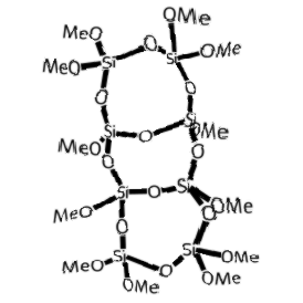 CO[Si]1(OC)O[Si](OC)(OC)O[Si]2(OC)O[Si](OC)(O1)O[Si]1(OC)O[Si](OC)(OC)O[Si](OC)(OC)O[Si](OC)(O1)O2